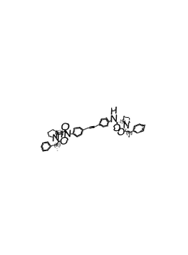 C[C@@H](C(=O)N1CCC[C@H]1C(=O)Nc1ccc(C#Cc2ccc(NC(=O)[C@@H]3CCCN3C(=O)[C@H](C)c3ccccc3)cc2)cc1)c1ccccc1